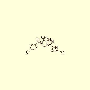 C[C@@H]1c2nnc(-c3nc(C4CC4)co3)n2CCN1C(=O)c1ccc(Cl)cc1